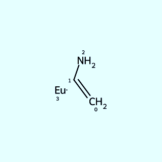 C=CN.[Eu]